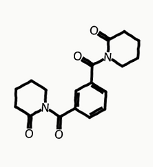 O=C1CCCCN1C(=O)c1cccc(C(=O)N2CCCCC2=O)c1